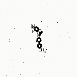 CCOc1ccc(OC(F)(F)COC2CCC(C3CCC(C)CC3)CC2)c(F)c1F